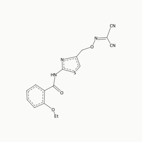 CCOc1ccccc1C(=O)Nc1nc(CON=C(C#N)C#N)cs1